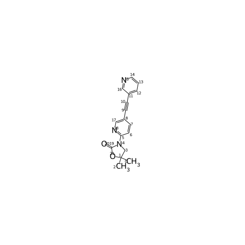 CC1(C)CN(c2ccc(C#Cc3cccnc3)cn2)C(=O)O1